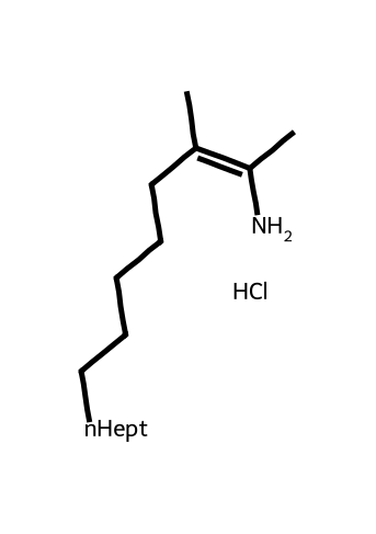 CCCCCCCCCCCCC(C)=C(C)N.Cl